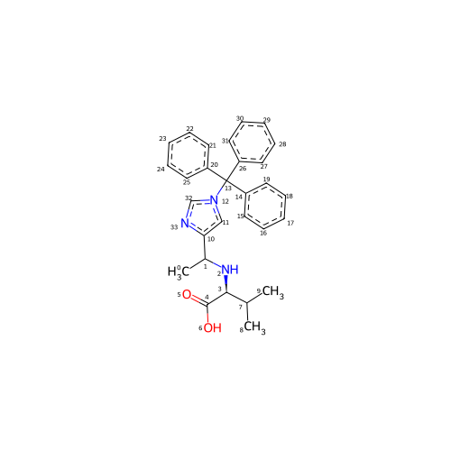 CC(N[C@H](C(=O)O)C(C)C)c1cn(C(c2ccccc2)(c2ccccc2)c2ccccc2)cn1